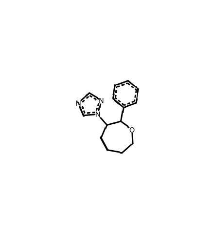 c1ccc(C2OCCCCC2n2cncn2)cc1